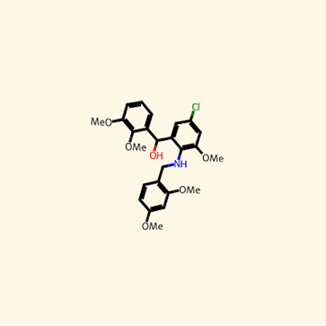 COc1ccc(CNc2c(OC)cc(Cl)cc2C(O)c2cccc(OC)c2OC)c(OC)c1